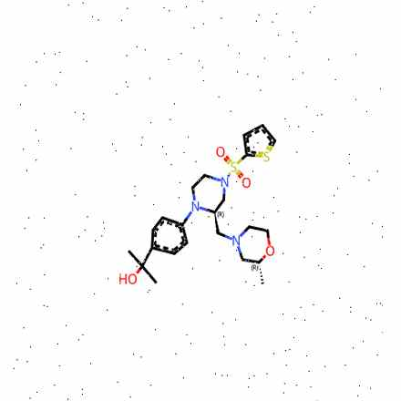 C[C@@H]1CN(C[C@@H]2CN(S(=O)(=O)c3cccs3)CCN2c2ccc(C(C)(C)O)cc2)CCO1